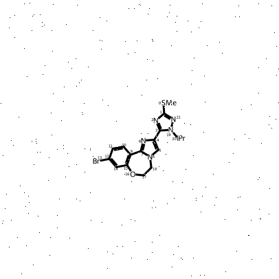 CSc1nc(-c2cn3c(n2)-c2ccc(Br)cc2OCC3)n(C(C)C)n1